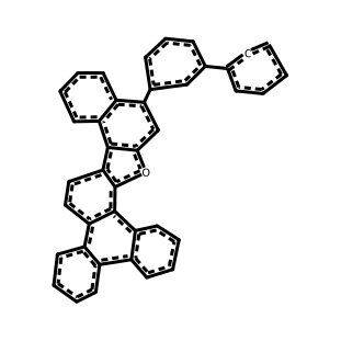 c1ccc(-c2cccc(-c3cc4oc5c(ccc6c7ccccc7c7ccccc7c65)c4c4ccccc34)c2)cc1